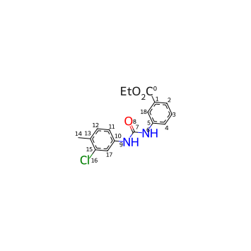 CCOC(=O)c1cccc(NC(=O)Nc2ccc(C)c(Cl)c2)c1